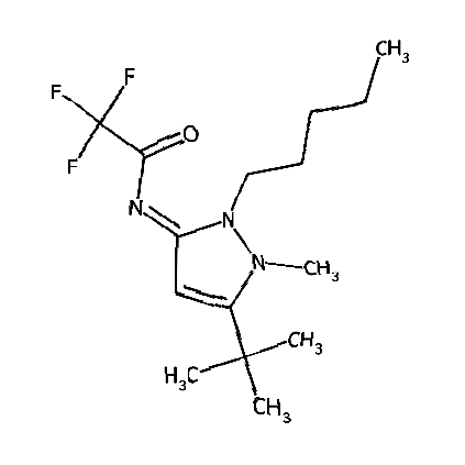 CCCCCn1c(=NC(=O)C(F)(F)F)cc(C(C)(C)C)n1C